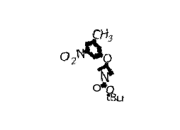 Cc1cc(OC2CN(C(=O)OC(C)(C)C)C2)cc([N+](=O)[O-])c1